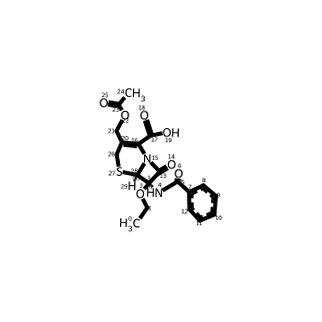 CCO[C@]1(NC(=O)c2ccccc2)C(=O)N2C(C(=O)O)=C(COC(C)=O)CS[C@@H]21